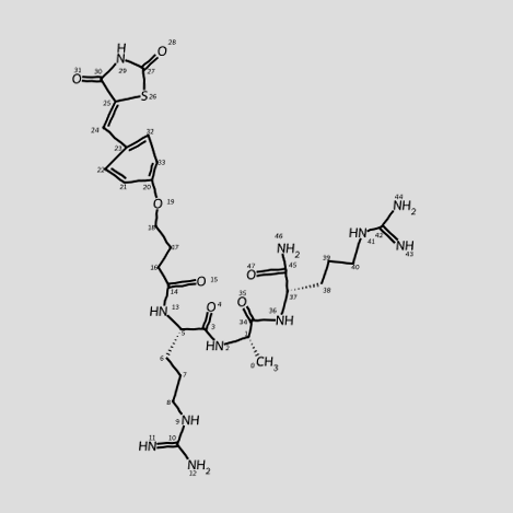 C[C@H](NC(=O)[C@H](CCCNC(=N)N)NC(=O)CCCOc1ccc(/C=C2\SC(=O)NC2=O)cc1)C(=O)N[C@@H](CCCNC(=N)N)C(N)=O